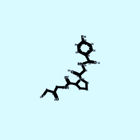 O=C(CF)CNC(=O)C1CCCN1C(=O)CNC(=O)c1ccc(F)cc1